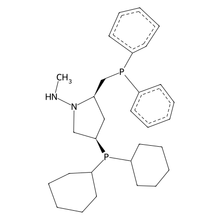 CNN1C[C@H](P(C2CCCCC2)C2CCCCC2)C[C@@H]1CP(c1ccccc1)c1ccccc1